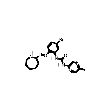 Cc1cnc(NC(=O)Nc2cc(Br)ccc2OOC2CCCCCN2)cn1